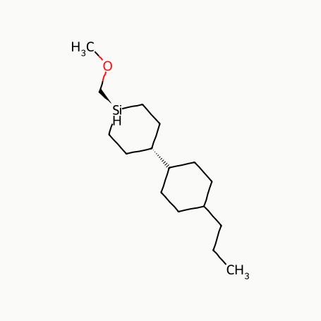 CCCC1CCC([C@H]2CC[Si@H](COC)CC2)CC1